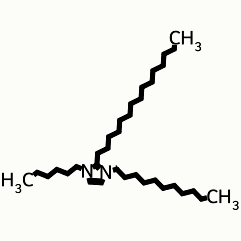 CCCCCCCCCCCCCCCc1n(CCCCCC)cc[n+]1CCCCCCCCCCC